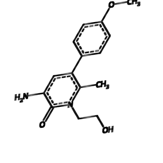 COc1ccc(-c2cc(N)c(=O)n(CCO)c2C)cc1